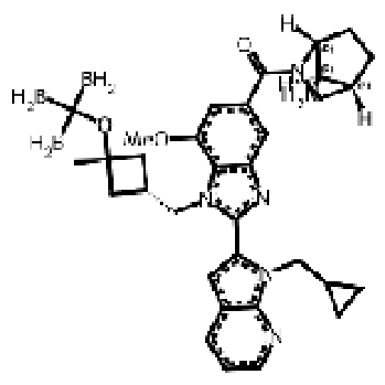 BC(B)(B)O[C@]1(C)C[C@H](Cn2c(-c3cc4cccnc4n3CC3CC3)nc3cc(C(=O)N4C[C@H]5CC[C@@H]4[C@@H]5N)cc(OC)c32)C1